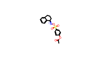 CC(=O)Oc1ccc(S(=O)(=O)O/N=C2\CCCc3ccccc32)cc1